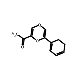 CC(=O)C1=COC=C(C2=CC=CCC2)O1